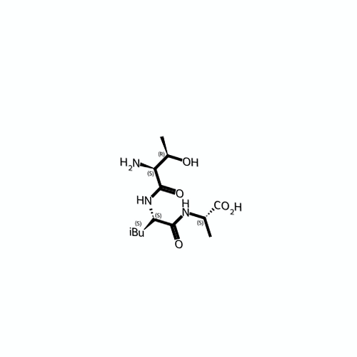 CC[C@H](C)[C@H](NC(=O)[C@@H](N)[C@@H](C)O)C(=O)N[C@@H](C)C(=O)O